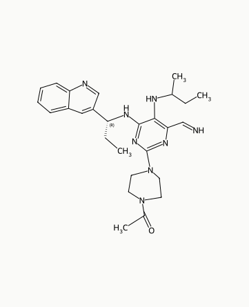 CCC(C)Nc1c(C=N)nc(N2CCN(C(C)=O)CC2)nc1N[C@H](CC)c1cnc2ccccc2c1